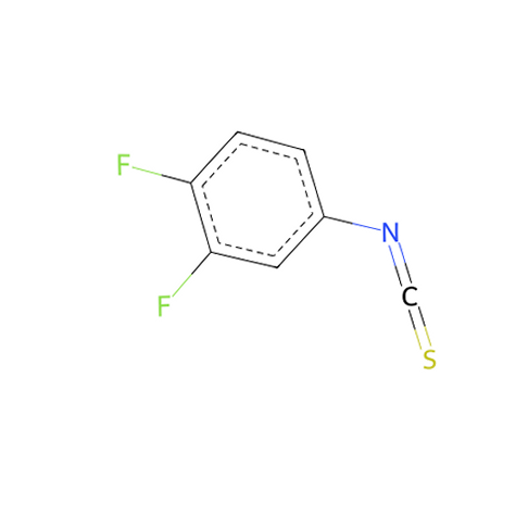 Fc1ccc(N=C=S)cc1F